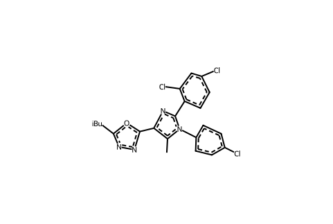 CCC(C)c1nnc(-c2nc(-c3ccc(Cl)cc3Cl)n(-c3ccc(Cl)cc3)c2C)o1